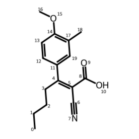 CCCCC(=C(C#N)C(=O)O)c1ccc(OC)c(C)c1